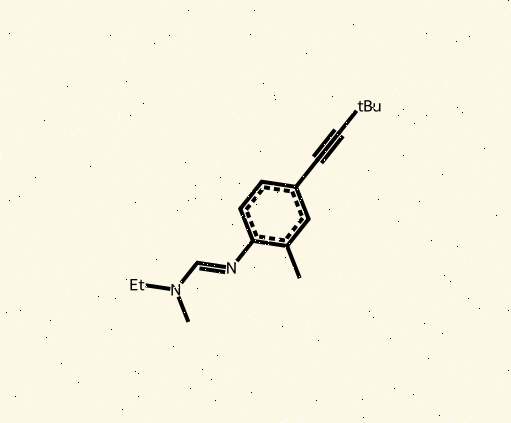 CCN(C)C=Nc1ccc(C#CC(C)(C)C)cc1C